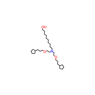 OCCCCCCCCCCN(CCOCCCC1CCCC1)CCOCCCC1CCCC1